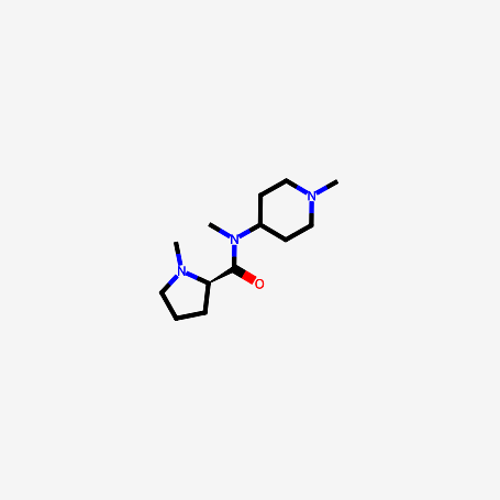 CN1CCC(N(C)C(=O)[C@H]2CCCN2C)CC1